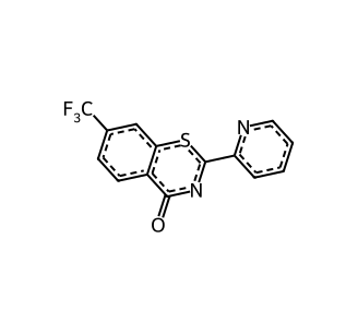 O=c1nc(-c2ccccn2)sc2cc(C(F)(F)F)ccc12